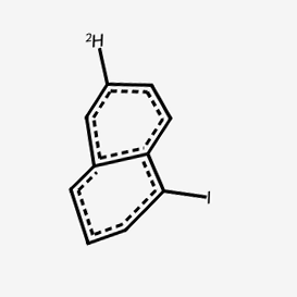 [2H]c1ccc2c(I)cccc2c1